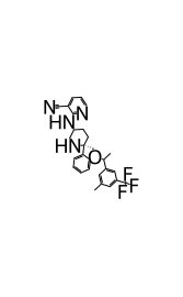 Cc1cc(C(C)OC[C@@]2(c3ccccc3)CCC(Nc3ncccc3C#N)CN2)cc(C(F)(F)F)c1